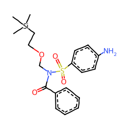 C[Si](C)(C)CCOCN(C(=O)c1ccccc1)S(=O)(=O)c1ccc(N)cc1